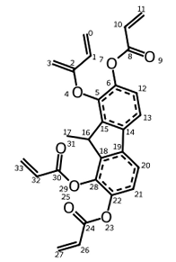 C=CC(=C)Oc1c(OC(=O)C=C)ccc2c1C(C)c1c-2ccc(OC(=O)C=C)c1OC(=O)C=C